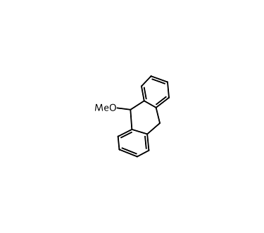 COC1c2ccccc2Cc2ccccc21